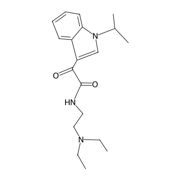 CCN(CC)CCNC(=O)C(=O)c1cn(C(C)C)c2ccccc12